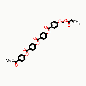 C=CC(=O)OCOc1ccc(C(=O)Oc2ccc(C(=O)Oc3ccc(C(=O)Oc4ccc(C(=O)OC)cc4)cc3)cc2)cc1